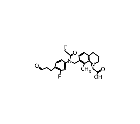 Cc1c(CN(C(=O)CF)c2ccc(CCC=O)c(F)c2)ccc2c1N(CC(=O)O)CCC2